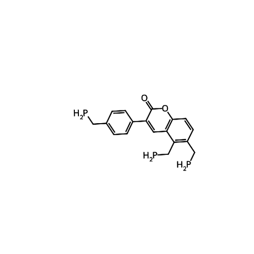 O=c1oc2ccc(CP)c(CP)c2cc1-c1ccc(CP)cc1